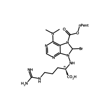 CCCCCOC(=O)N1c2c(N(C)C)ncnc2N(N[C@H](CCCNC(=N)N)C(=O)O)C1Br